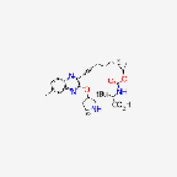 Cc1ccc2nc(C#CCCC[C@@H]3CC3OC(=O)NC(C(=O)O)C(C)(C)C)c(OC3CN[C@H](C)C3)nc2c1